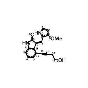 COc1cc[nH]c1C=C1C(=O)Nc2cccc(C#CCCO)c21